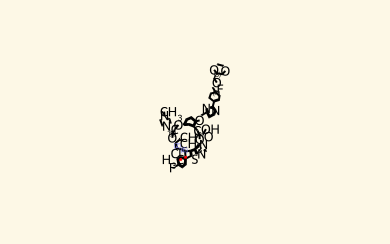 C#C/C1=C(Cl)\C(C)=C(/CC)c2c(-c3ccc(F)cc3)sc3ncnc(c23)O[C@@H](C(=O)O)Cc2cc(ccc2OCc2ccnc(C3=CC[C@@](F)(COC[C@@H]4COCCO4)CC3)n2)OC[C@@H](CN2CCN(C)CC2)O1